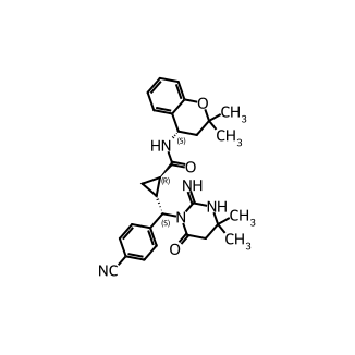 CC1(C)CC(=O)N([C@H](c2ccc(C#N)cc2)C2C[C@H]2C(=O)N[C@H]2CC(C)(C)Oc3ccccc32)C(=N)N1